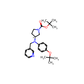 CC(C)(C)OC(=O)N1CC[C@H](N(Cc2cccnc2)c2ccc(OC(C)(C)C)cc2)C1